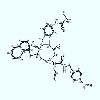 C=CCN(C(=O)NCc1ccc(OC)cc1)N1CCN(Cc2cccc3ccccc23)C(=O)[C@H](Cc2ccc(OC(=O)N(C)C)cc2)NC(=O)C1